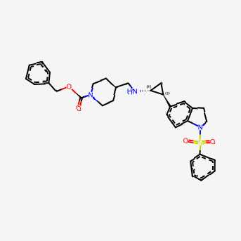 O=C(OCc1ccccc1)N1CCC(CN[C@@H]2C[C@H]2c2ccc3c(c2)CCN3S(=O)(=O)c2ccccc2)CC1